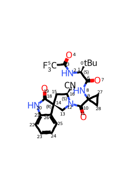 CC(C)(C)[C@H](NC(=O)C(F)(F)F)C(=O)NC1(C(=O)N2C[C@]3(C[C@H]2C#N)C(=O)Nc2ccccc23)CC1